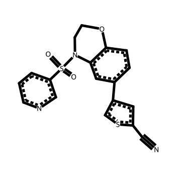 N#Cc1cc(-c2ccc3c(c2)N(S(=O)(=O)c2cccnc2)CCO3)cs1